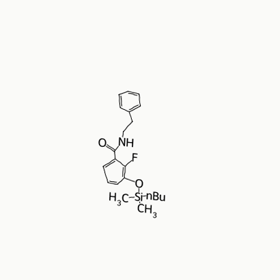 CCCC[Si](C)(C)Oc1cccc(C(=O)NCCc2ccccc2)c1F